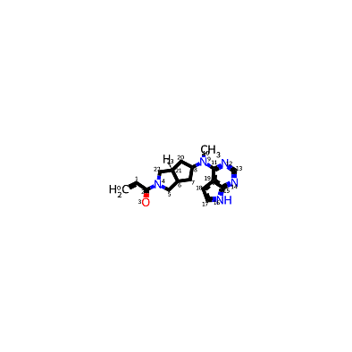 C=CC(=O)N1CC2CC(N(C)c3ncnc4[nH]ccc34)C[C@@H]2C1